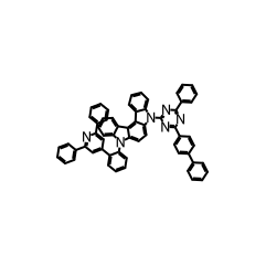 c1ccc(-c2ccc(-c3nc(-c4ccccc4)nc(-n4c5ccccc5c5c6c7ccccc7n(-c7ccccc7-c7cc(-c8ccccc8)nc(-c8ccccc8)c7)c6ccc54)n3)cc2)cc1